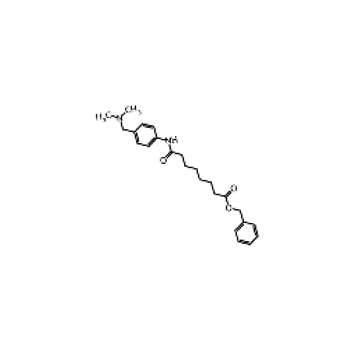 CN(C)Cc1ccc(NC(=O)CCCCCCC(=O)OCc2ccccc2)cc1